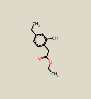 CCOC(=O)Cc1ccc(CC)cc1C